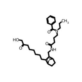 CCCN(CCCC(=O)NCC1C2CCC(O2)C1CCCCCCC(=O)CO)C(=O)c1ccccc1